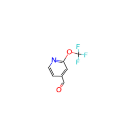 O=Cc1ccnc(OC(F)(F)F)c1